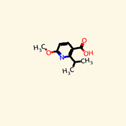 COc1ccc(C(=O)O)c(C(C)C)n1